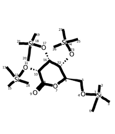 C[Si](C)(C)OC[C@H]1OC(=O)[C@H](O[Si](C)(C)C)[C@H](O[Si](C)(C)C)[C@@H]1O[Si](C)(C)C